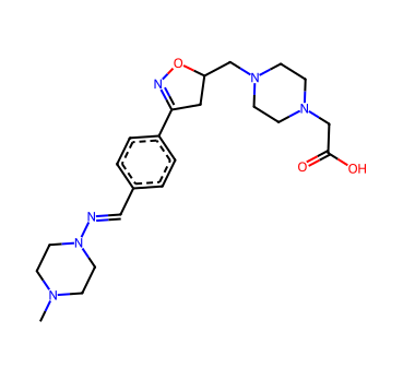 CN1CCN(N=Cc2ccc(C3=NOC(CN4CCN(CC(=O)O)CC4)C3)cc2)CC1